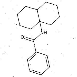 O=C(NC12CCCCC1CCCC2)c1ccccc1